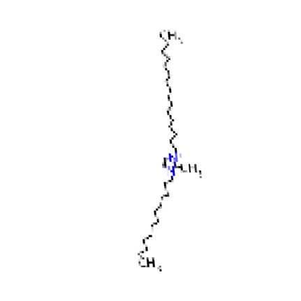 CCCCCCCCCCCCCCCC[n+]1ccn(CCCCCCCCCCCCC)c1C